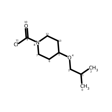 CC(C)COC1CCN(C(=O)Cl)CC1